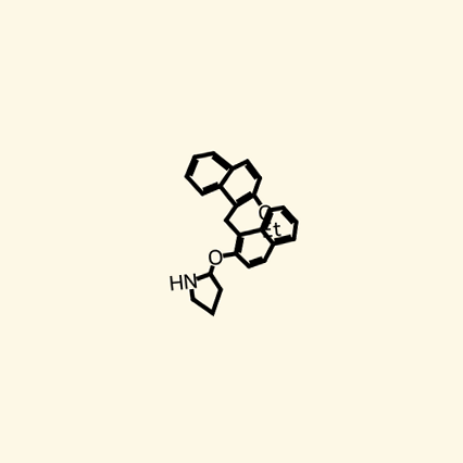 CCOc1ccc2ccccc2c1Cc1c(OC2CCCN2)ccc2ccccc12